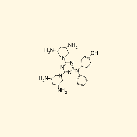 N[C@@H]1C[C@H](N)CN(c2nc(N3C[C@H](N)C[C@H](N)C3)nc(N(c3ccccc3)c3ccc(O)cc3)n2)C1